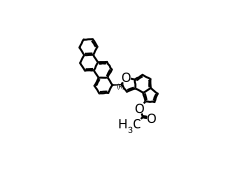 CC(=O)OC1=c2c(ccc3c2=C[C@@H](C2C=CC=c4c2ccc2c4=CCC4=C2C=CCC4)O3)C=C1